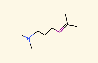 CC(C)=ICCCN(C)C